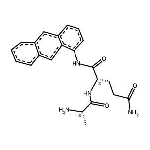 C[C@H](N)C(=O)N[C@@H](CCC(N)=O)C(=O)Nc1cccc2cc3ccccc3cc12